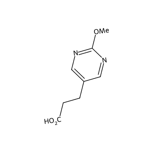 COc1ncc(CCC(=O)O)cn1